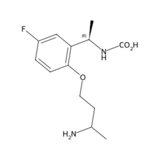 CC(N)CCOc1ccc(F)cc1[C@@H](C)NC(=O)O